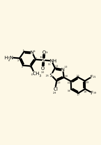 Cc1cc(N)cnc1S(=O)(=O)Nc1nc(-c2ccc(F)c(F)c2)c(Cl)s1